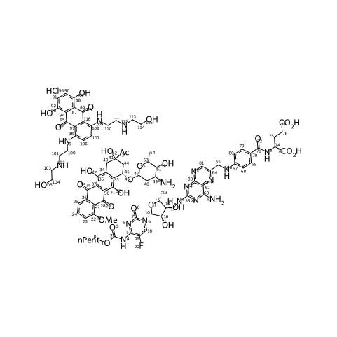 CCCCCOC(=O)Nc1nc(=O)n([C@@H]2O[C@H](C)[C@@H](O)[C@H]2O)cc1F.COc1cccc2c1C(=O)c1c(O)c3c(c(O)c1C2=O)C[C@@](O)(C(C)=O)C[C@@H]3OC1CC(N)C(O)C(C)O1.Cl.Nc1nc(N)c2nc(CNc3ccc(C(=O)NC(CCC(=O)O)C(=O)O)cc3)cnc2n1.O=C1c2c(O)ccc(O)c2C(=O)c2c(NCCNCCO)ccc(NCCNCCO)c21